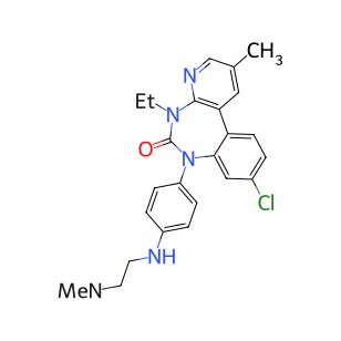 CCN1C(=O)N(c2ccc(NCCNC)cc2)c2cc(Cl)ccc2-c2cc(C)cnc21